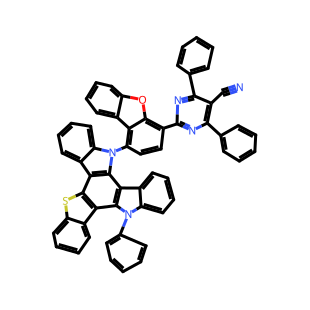 N#Cc1c(-c2ccccc2)nc(-c2ccc(-n3c4ccccc4c4c5sc6ccccc6c5c5c(c6ccccc6n5-c5ccccc5)c43)c3c2oc2ccccc23)nc1-c1ccccc1